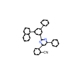 N#Cc1ccccc1-c1cc(-c2ccccc2)nc(-c2cc(-c3ccccc3)cc(-c3cccc4ccccc34)c2)n1